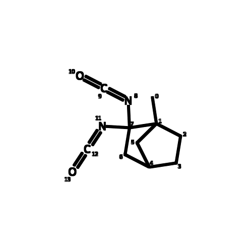 CC12CCC(C1)CC2(N=C=O)N=C=O